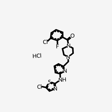 Cl.O=C(c1cccc(Cl)c1F)N1CCN(Cc2cccc(Nc3ncc(Cl)s3)n2)CC1